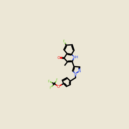 Cc1c(-c2cnn(Cc3ccc(OC(F)(F)F)cc3)c2)[nH]c2ccc(F)cc2c1=O